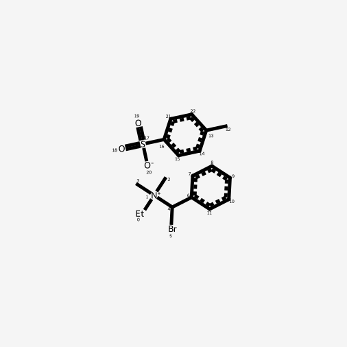 CC[N+](C)(C)C(Br)c1ccccc1.Cc1ccc(S(=O)(=O)[O-])cc1